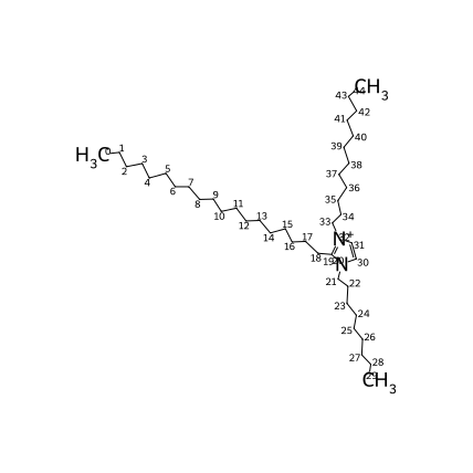 CCCCCCCCCCCCCCCCCCCc1n(CCCCCCCCC)cc[n+]1CCCCCCCCCCCC